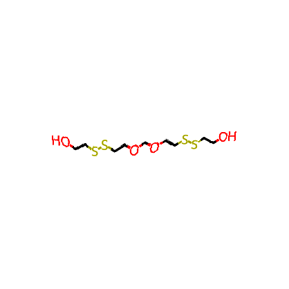 OCCSSCCOCOCCSSCCO